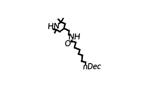 CCCCCCCCCCCCCCCCCC(=O)NCCC1CC(C)(C)NC(C)(C)C1